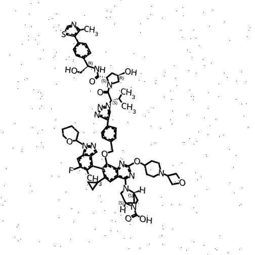 Cc1ncsc1-c1ccc([C@H](CO)NC(=O)[C@@H]2C[C@@H](O)CN2C(=O)[C@H](C(C)C)n2cc(-c3ccc(COc4c(-c5c(C)c(F)cc6c5cnn6C5CCCCO5)c(C5CC5)cc5c(N6C[C@@H]7C[C@H]6CN7C(=O)O)nc(OC6CCN(C7COC7)CC6)nc45)cc3)nn2)cc1